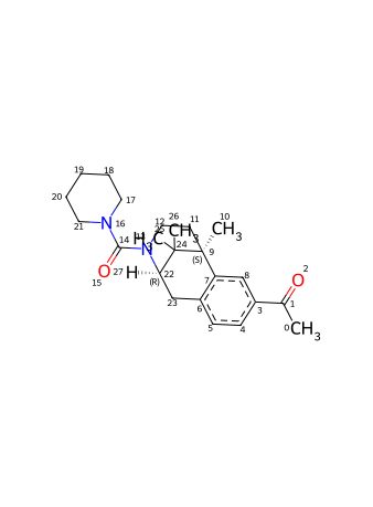 CC(=O)c1ccc2c(c1)[C@]1(C)CCN(C(=O)N3CCCCC3)[C@H](C2)C1(C)C